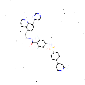 O=C(NC(Cc1ccc(-c2ccncn2)c2ncccc12)C(=O)O)c1c(F)cc(NS(=O)(=O)c2ccc(-c3ccnc(F)c3)cc2)cc1F